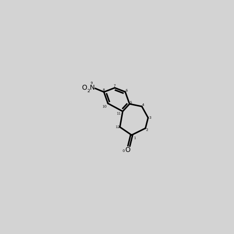 O=C1CCCc2ccc([N+](=O)[O-])cc2C1